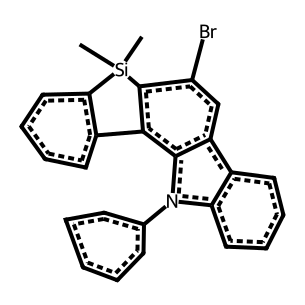 C[Si]1(C)c2ccccc2-c2c1c(Br)cc1c3ccccc3n(-c3ccccc3)c21